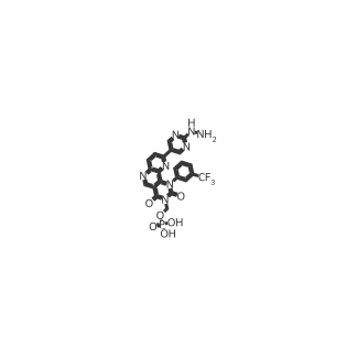 NNc1ncc(-c2ccc3ncc4c(=O)n(COP(=O)(O)O)c(=O)n(-c5cccc(C(F)(F)F)c5)c4c3n2)cn1